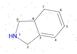 [CH]1NCC2=CC=CCC12